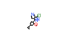 COc1cc(C2CC2)ccc1-c1nnc(Cl)c2cnccc12